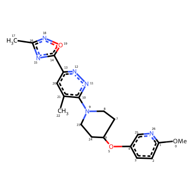 COc1ccc(OC2CCN(c3nnc(-c4nc(C)no4)cc3C)CC2)cn1